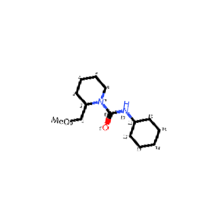 COCC1CCCCN1C(=O)NC1CCCCC1